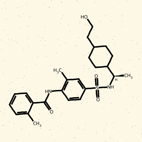 Cc1cc(S(=O)(=O)N[C@H](C)C2CCC(CCO)CC2)ccc1NC(=O)c1ccccc1C